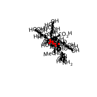 COCCSSC[C@@H](NC(=O)[C@H](CCC(=O)NC[C@H](O)[C@@H](O)C[C@H](O)CO)NC(=O)[C@@H](CCC(=O)O)NC(=O)[C@H](CCC(=O)NC[C@H](O)[C@@H](O)C[C@H](O)CO)NC(=O)[C@@H](CCC(=O)O)NC(=O)[C@H](CCC(=O)NC[C@H](O)[C@@H](O)C[C@H](O)CO)NC(=O)CCCNC(=O)c1ccc(NCc2cnc3nc(N)[nH]c(=O)c3n2)cc1)C(=O)O